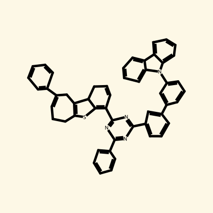 C1=CC(c2nc(-c3ccccc3)nc(-c3cccc(-c4cccc(-n5c6ccccc6c6ccccc65)c4)c3)n2)=C2SC3=C(CC(c4ccccc4)=CCC3)C2C1